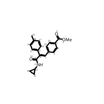 COC(=O)c1ccc(/C=C(/C(=O)NC2CC2)c2ccc(C)cc2)cc1